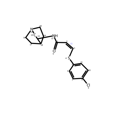 O=C(/C=C\Sc1ccc(Cl)cc1)NC1CN2CCC1CC2